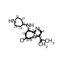 C=C(C)c1cnc2c(NC3CCNCC3)cc(Cl)cn12